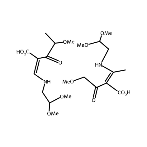 COC(CNC=C(C(=O)O)C(=O)C(C)OC)OC.COCC(=O)C(C(=O)O)=C(C)NCC(OC)OC